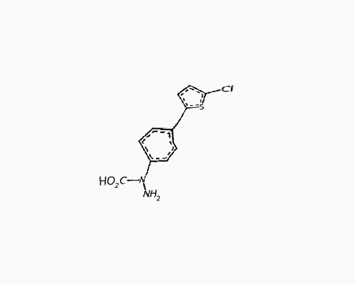 NN(C(=O)O)c1ccc(-c2ccc(Cl)s2)cc1